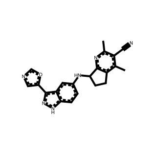 Cc1nc2c(c(C)c1C#N)CCC2Nc1ccc2[nH]nc(-c3cnco3)c2c1